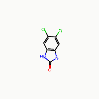 O=C1[N]c2cc(Cl)c(Cl)cc2N1